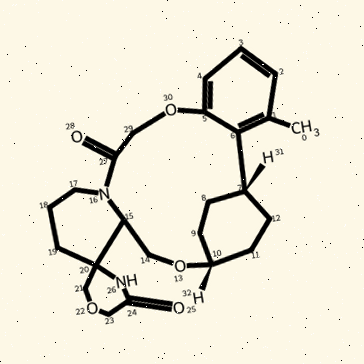 Cc1cccc2c1[C@H]1CC[C@H](CC1)OCC1N(CCCC13COCC(=O)N3)C(=O)CO2